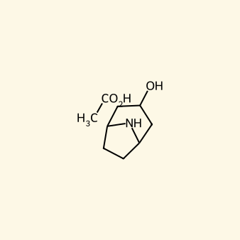 CC(=O)O.OC1CC2CCC(C1)N2